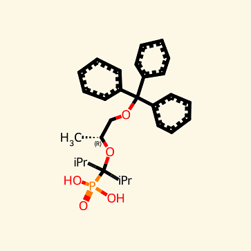 CC(C)C(O[C@H](C)COC(c1ccccc1)(c1ccccc1)c1ccccc1)(C(C)C)P(=O)(O)O